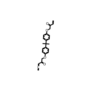 C=C=CC(=O)COc1ccc(C(C)(C)c2ccc(OCC(=O)C=C)cc2)cc1